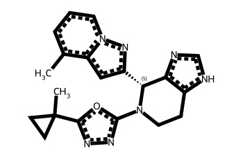 Cc1cccn2nc([C@@H]3c4nc[nH]c4CCN3c3nnc(C4(C)CC4)o3)cc12